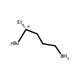 BCCC[C@@H](CC)CCCC